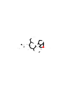 CO[C@H]1OC2COC([C@H]2O[C@@H]2OC(CO)[C@H](OS(=O)(=O)O)[C@H](C)C2O)[C@@H]1O